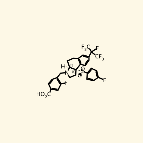 O=C(O)c1ccc(CN2CC[C@]3(S(=O)(=O)c4ccc(F)cc4)c4ccc(C(F)(C(F)(F)F)C(F)(F)F)cc4CC[C@H]23)c(F)c1